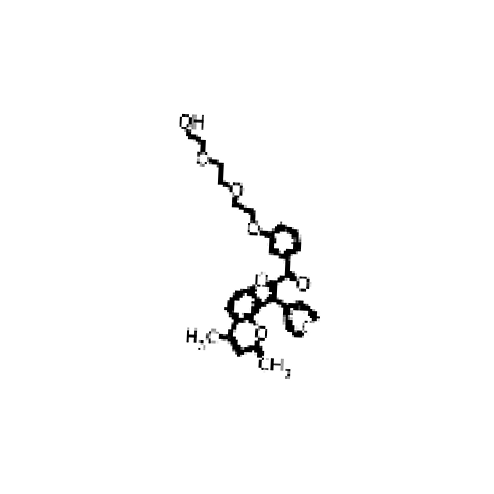 C=C1C=C(C)c2ccc3oc(C(=O)c4cccc(OCCOCCOCCO)c4)c(-c4ccccc4)c3c2O1